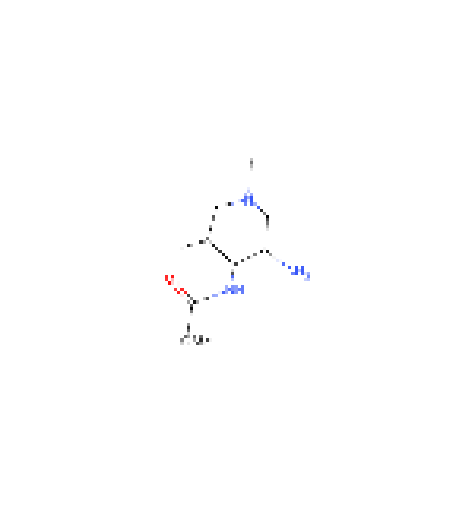 COC(=O)NC1C(C)CN(C)CC1N